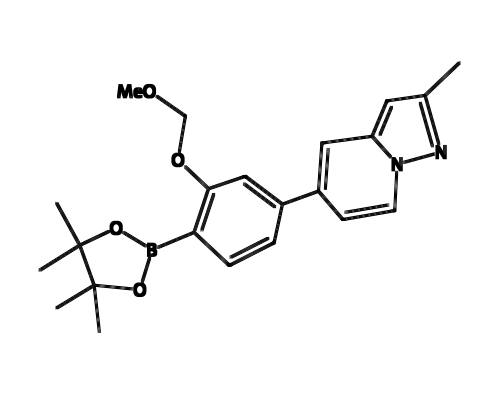 COCOc1cc(-c2ccn3nc(C)cc3c2)ccc1B1OC(C)(C)C(C)(C)O1